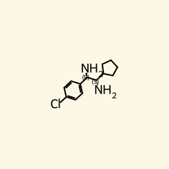 N[C@H](c1ccc(Cl)cc1)[C@@H](N)C1CCCC1